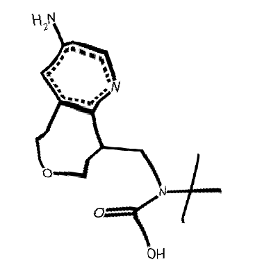 CC(C)(C)N(CC1COCc2cc(N)cnc21)C(=O)O